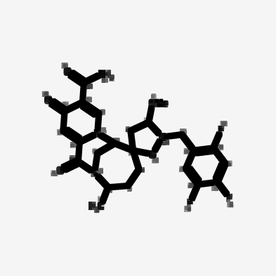 COC1CC2(CCC(C)N3CC2n2cc(C(N)=O)c(=O)cc2C3=O)ON1Cc1cc(F)c(F)cc1F